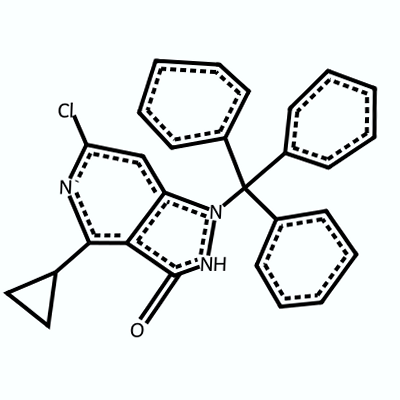 O=c1[nH]n(C(c2ccccc2)(c2ccccc2)c2ccccc2)c2cc(Cl)nc(C3CC3)c12